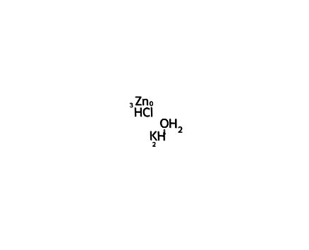 Cl.O.[KH].[Zn]